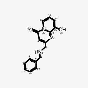 O=c1cc(CNCc2ccccc2)nc2c(O)cccn12